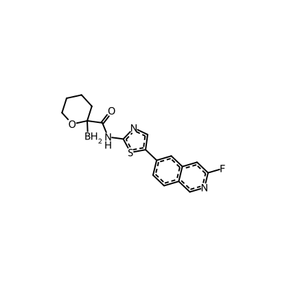 BC1(C(=O)Nc2ncc(-c3ccc4cnc(F)cc4c3)s2)CCCCO1